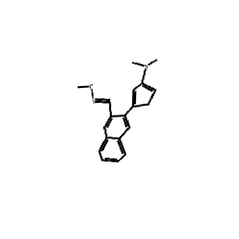 CON=Cc1cc2ccccc2cc1C1=CC(N(C)C)=CC1